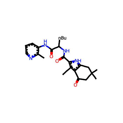 CCCCC(NC(=O)c1[nH]c2c(c1C)C(=O)CC(C)(C)C2)C(=O)Nc1cccnc1C